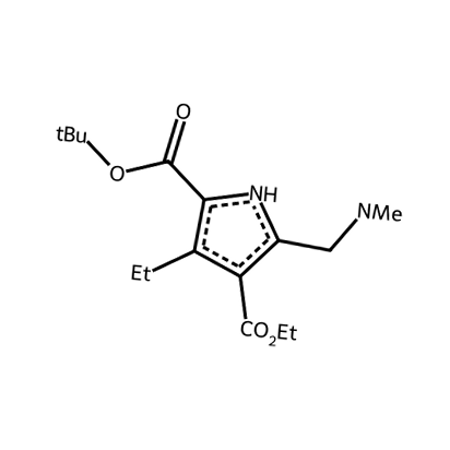 CCOC(=O)c1c(CNC)[nH]c(C(=O)OC(C)(C)C)c1CC